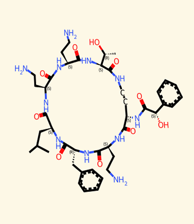 CC(C)C[C@@H]1NC(=O)[C@@H](Cc2ccccc2)NC(=O)[C@H](CCN)NC(=O)[C@@H](NC(=O)[C@@H](O)c2ccccc2)CCNC(=O)[C@H]([C@@H](C)O)NC(=O)[C@H](CCN)NC(=O)[C@H](CCN)NC1=O